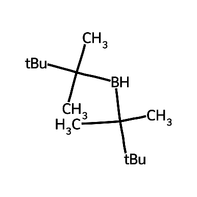 CC(C)(C)C(C)(C)BC(C)(C)C(C)(C)C